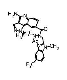 CC(=O)N(C)N(Cc1nc2cc(C(F)(F)F)ccc2n1C)C(=O)c1ccc2nc(N)c3cnn(C)c3c2c1